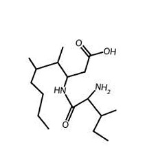 CCCCC(C)C(C)C(CC(=O)O)NC(=O)C(N)C(C)CC